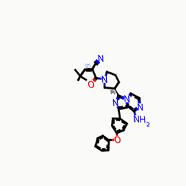 CC(C)(C)/C=C(/C#N)C(=O)N1CCC[C@@H](c2nc(-c3ccc(Oc4ccccc4)cc3)c3c(N)nccn23)C1